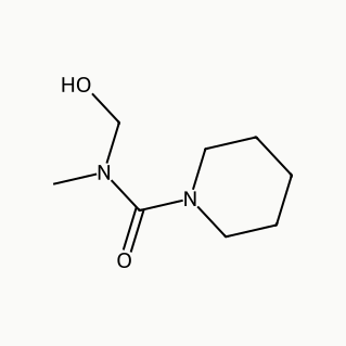 CN(CO)C(=O)N1CCCCC1